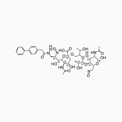 CC(=O)NC1[C@H](O)OC(CN=O)[C@@H](O[C@H](OC(CO[C@]2(C(=O)O)C[C@@H](O)[C@@H](NC(C)=O)C([C@H](O)[C@@H](CN(N)C(=O)Cc3ccc(-c4ccccc4)cc3)N=O)O2)C(C)O)[C@H](C)O)[C@@H]1O